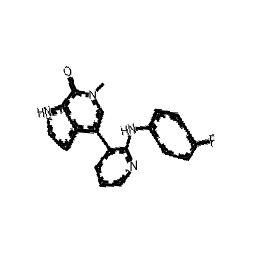 Cn1cc(-c2cccnc2Nc2ccc(F)cc2)c2cc[nH]c2c1=O